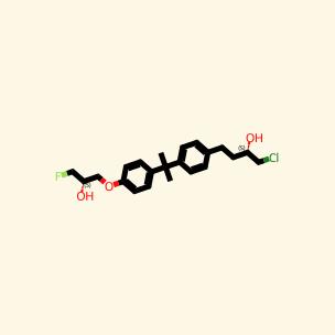 CC(C)(c1ccc(CC[C@H](O)CCl)cc1)c1ccc(OC[C@H](O)CF)cc1